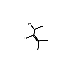 CCC(=C(C)C)C(C)O